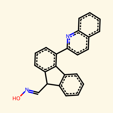 ON=CC1c2ccccc2-c2c(-c3ccc4ccccc4n3)cccc21